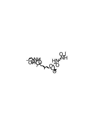 CC(/C=C/[C@@H]1C[C@]2(CO2)C[C@@H](CC(=O)NCCNC(=O)CI)O1)=C\C[C@@H]1O[C@H](C)[C@H](NC(=O)/C=C\[C@H](C)O)C[C@@H]1C